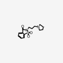 O=C1c2ccccc2S(=O)(=O)N1CCCN1C[CH]CC1